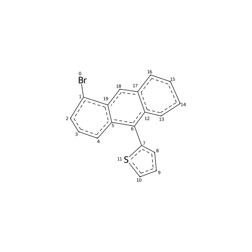 Brc1cccc2c(-c3cccs3)c3ccccc3cc12